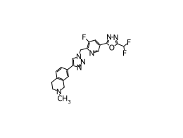 CN1CCc2ccc(-c3cn(Cc4ncc(-c5nnc(C(F)F)o5)cc4F)nn3)cc2C1